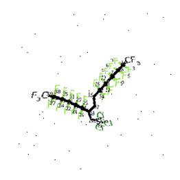 FC(F)(F)C(F)(F)C(F)(F)C(F)(F)C(F)(F)C(F)(F)CCC(C[Si](Cl)(Cl)Cl)C(F)(F)C(F)(F)C(F)(F)C(F)(F)C(F)(F)C(F)(F)F